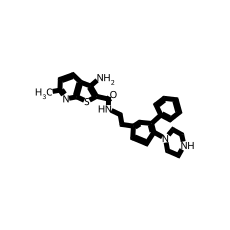 Cc1ccc2c(N)c(C(=O)NCCc3ccc(N4CCNCC4)c(-c4ccccc4)c3)sc2n1